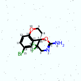 NC1=NCC(F)(F)[C@]2(CCOc3ccc(Br)cc32)O1